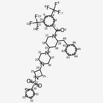 O=C(c1cc(C(F)(F)F)cc(C(F)(F)F)c1)N1CCC(N2CCN(C3CN(S(=O)(=O)c4cccs4)C3)CC2)CC1Cc1ccccc1